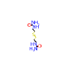 NC(=O)NCCSSCCNC(N)=O